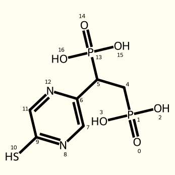 O=P(O)(O)CC(c1cnc(S)cn1)P(=O)(O)O